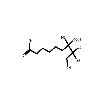 CCC(S)(CO)C(S)(CCCCCC(=S)S)C(=O)O